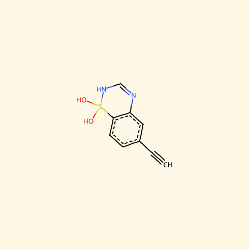 C#Cc1ccc2c(c1)N=[C]NS2(O)O